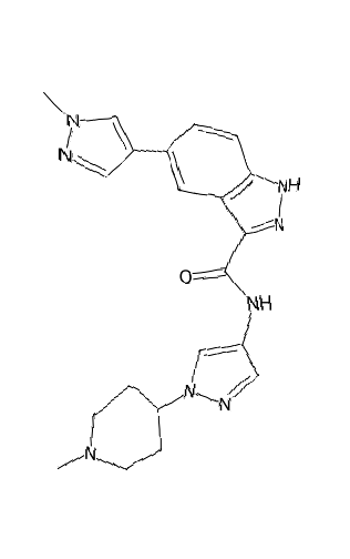 CN1CCC(n2cc(NC(=O)c3n[nH]c4ccc(-c5cnn(C)c5)cc34)cn2)CC1